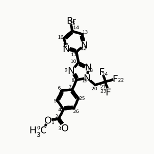 COC(=O)c1ccc(-c2nc(-c3ncc(Br)cn3)nn2CC(F)(F)F)cc1